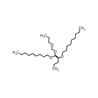 CCCCCCCCCOC(CCC)=C(OCCCCCCCCC)OCOCCC